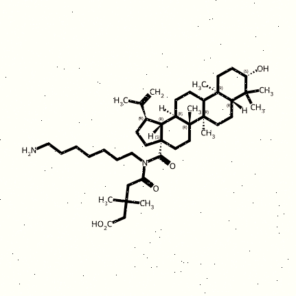 C=C(C)[C@@H]1CC[C@]2(C(=O)N(CCCCCCCN)C(=O)CC(C)(C)CC(=O)O)CC[C@]3(C)[C@H](CCC4[C@@]5(C)CC[C@H](O)C(C)(C)[C@@H]5CC[C@]43C)[C@@H]12